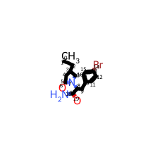 CCCC1CC(=O)N(C(Cc2ccc(Br)cc2)C(N)=O)C1